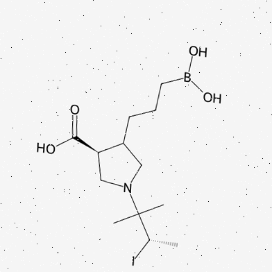 C[C@H](I)C(C)(C)N1CC(CCCB(O)O)[C@H](C(=O)O)C1